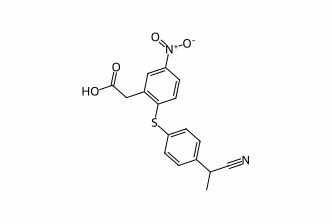 CC(C#N)c1ccc(Sc2ccc([N+](=O)[O-])cc2CC(=O)O)cc1